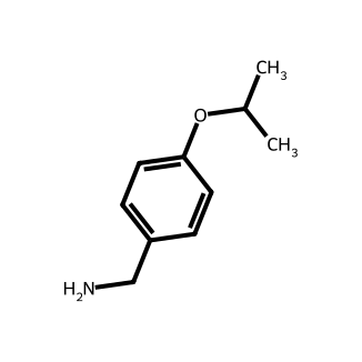 CC(C)Oc1ccc(CN)cc1